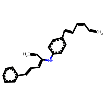 C=C/C=C\C=C\c1ccc(N/C(C=C)=C/C=C/c2ccccc2)cc1